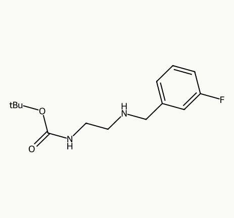 CC(C)(C)OC(=O)NCCNCc1cccc(F)c1